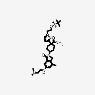 Cc1cc(NCCN(C)C)cc2c1CN(C1CCC(C(N)=O)(c3ccn(CCO[Si](C)(C)C(C)(C)C)n3)CC1)C2=O